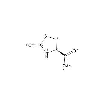 CC(=O)OC(=O)[C@@H]1CCC(=O)N1